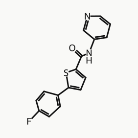 O=C(Nc1cccnc1)c1ccc(-c2ccc(F)cc2)s1